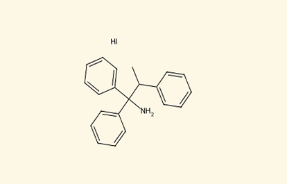 CC(c1ccccc1)C(N)(c1ccccc1)c1ccccc1.I